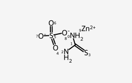 NC(N)=S.O=S(=O)([O-])[O-].[Zn+2]